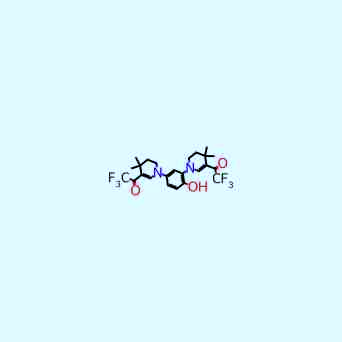 CC1(C)CCN(c2ccc(O)c(N3C=C(C(=O)C(F)(F)F)C(C)(C)CC3)c2)C=C1C(=O)C(F)(F)F